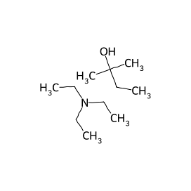 CCC(C)(C)O.CCN(CC)CC